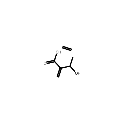 C=C.C=C(C(=O)O)C(C)O